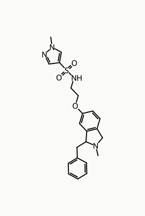 CN1Cc2ccc(OCCNS(=O)(=O)c3cnn(C)c3)cc2C1Cc1ccccc1